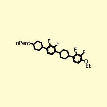 CCCCCC1CCC(c2ccc(C3CCC(c4ccc(OCC)c(F)c4F)CC3)c(F)c2F)CC1